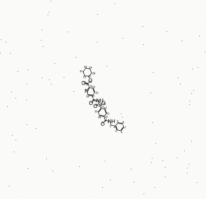 O=C(NCc1ccccc1)c1ccc(S(=O)(=O)NC(=O)c2ccc(C(=O)OC3CCCCC3)nc2)cc1